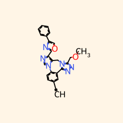 C#Cc1ccc2c(c1)-c1nnc(COC)n1Cc1c(-c3nc(-c4ccccc4)co3)ncn1-2